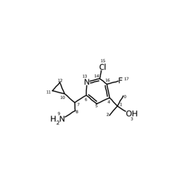 CC(C)(O)c1cc(C(CN)C2CC2)nc(Cl)c1F